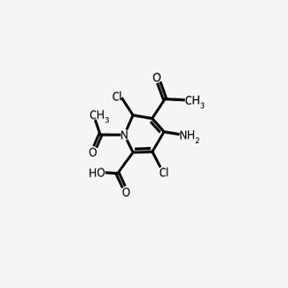 CC(=O)C1=C(N)C(Cl)=C(C(=O)O)N(C(C)=O)C1Cl